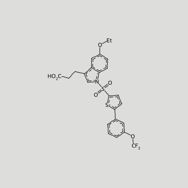 CCOc1ccc2c(c1)c(CCC(=O)O)cn2S(=O)(=O)c1ccc(-c2cccc(OC(F)(F)F)c2)s1